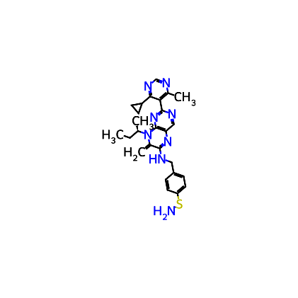 C=C1C(NCc2ccc(SN)cc2)=Nc2cnc(-c3c(C)ncnc3C3CC3)nc2N1[C@H](C)CC